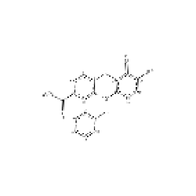 COC(=O)c1ccc(Cn2c(OCc3ccccc3)ncc(F)c2=O)cc1